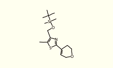 Cc1sc(C2=CCOCC2)nc1CO[Si](C)(C)C(C)(C)C